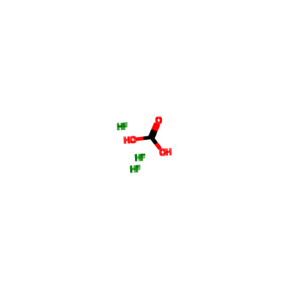 F.F.F.O=C(O)O